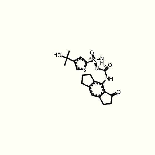 CC(C)(O)c1csc([S@](N)(=O)=NC(=O)Nc2c3c(cc4c2C(=O)CC4)CCC3)c1